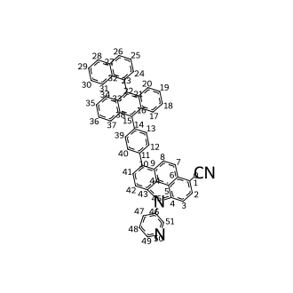 N#Cc1ccc2c3c1ccc1c(-c4ccc(-c5c6ccccc6c(-c6cccc7ccccc67)c6ccccc56)cc4)ccc(c13)n2-c1cccnc1